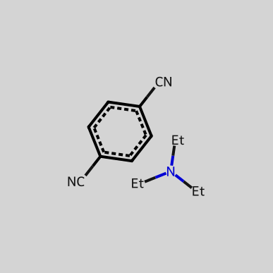 CCN(CC)CC.N#Cc1ccc(C#N)cc1